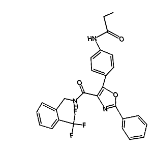 CCC(=O)Nc1ccc(-c2oc(-c3ccccc3)nc2C(=O)NCc2ccccc2C(F)(F)F)cc1